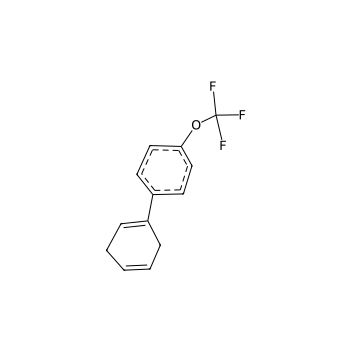 FC(F)(F)Oc1ccc(C2=CCC=CC2)cc1